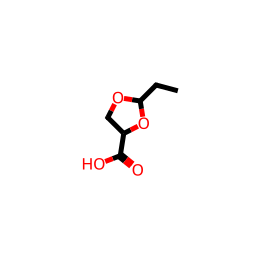 CCC1OCC(C(=O)O)O1